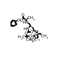 CC[Si](CC)(CC)OCC[C@H](CNN(C)C(=O)OCc1ccccc1)NC(=O)OC(C)(C)C